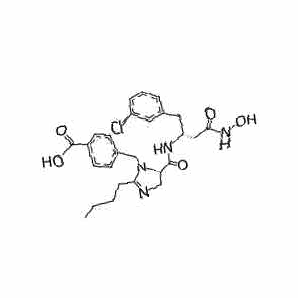 CCCCC1=NCC(C(=O)N[C@@H](CC(=O)NO)Cc2cccc(Cl)c2)N1Cc1ccc(C(=O)O)cc1